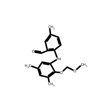 COCOc1c(C)cc(C)cc1Pc1ccc(C)cc1C=O